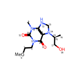 COCCn1c(=O)c2c(n(C)c1=O)NCN2[C@@H](C)CO